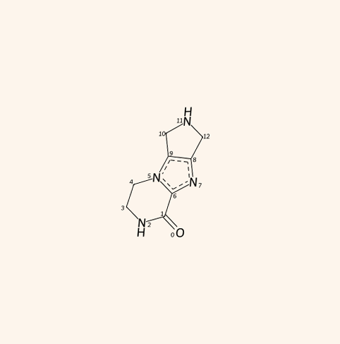 O=C1NCCn2c1nc1c2CNC1